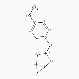 FC(F)(F)Oc1ccc(CN2CC3CC3C2)cc1